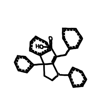 O=C(O)/C(Cc1ccccc1)=C1/P(c2ccccc2)CCC1(c1ccccc1)c1ccccc1